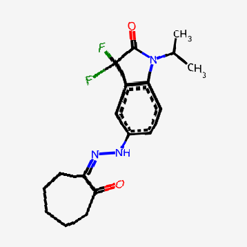 CC(C)N1C(=O)C(F)(F)c2cc(N/N=C3/CCCCCC3=O)ccc21